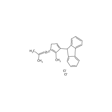 C[C](C)=[Zr+2][C]1=C(C)C(C2c3ccccc3-c3ccccc32)=CC1.[Cl-].[Cl-]